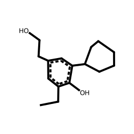 CCc1cc(CCO)cc(C2CCCCC2)c1O